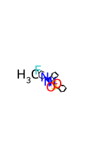 CC1(F)CCN(c2nn(S(=O)(=O)Cc3ccccc3)c3ccccc23)CC1